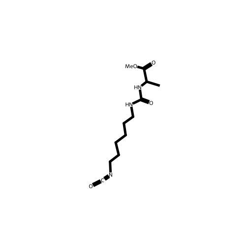 COC(=O)C(C)NC(=O)NCCCCCCN=C=O